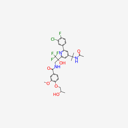 COc1cc(C(=O)NCC(O)(c2cc(C(C)(C)NC(C)=O)cc(-c3ccc(F)c(Cl)c3)n2)C(F)(F)F)ccc1OCC(C)O